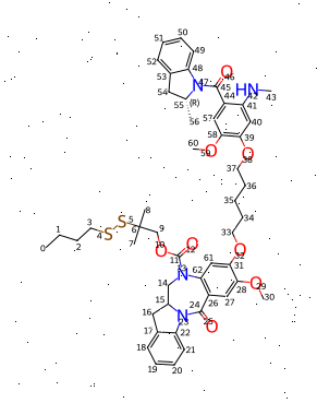 CCCCSSC(C)(C)COC(=O)N1CC2Cc3ccccc3N2C(=O)c2cc(OC)c(OCCCCCOc3cc(NC)c(C(=O)N4c5ccccc5C[C@H]4C)cc3OC)cc21